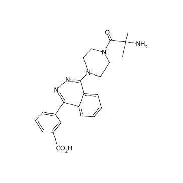 CC(C)(N)C(=O)N1CCN(c2nnc(-c3cccc(C(=O)O)c3)c3ccccc23)CC1